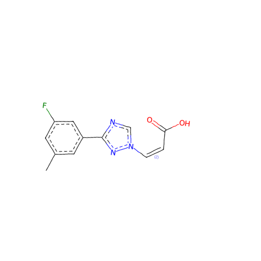 Cc1cc(F)cc(-c2ncn(/C=C\C(=O)O)n2)c1